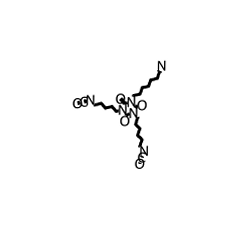 N#CCCCCCCn1c(=O)n(CCCCCCN=C=O)c(=O)n(CCCCCN=C=O)c1=O